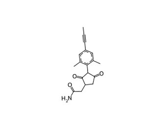 CC#Cc1cc(C)c(C2C(=O)CC(CC(N)=O)C2=O)c(C)c1